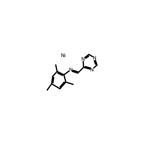 Cc1cc(C)c(N=Cc2ncncn2)c(C)c1.[Ni]